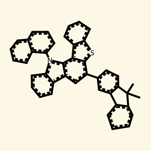 CC1(C)c2ccccc2-c2cc(-c3cc4c5ccccc5n(-c5cccc6ccccc56)c4c4c3sc3ccccc34)ccc21